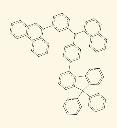 c1ccc(C2(c3ccccc3)c3ccccc3-c3c(-c4ccc(N(c5cccc(-c6cc7ccccc7c7ccccc67)c5)c5cccc6ccccc56)cc4)cccc32)cc1